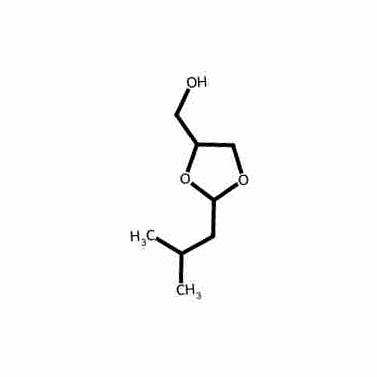 CC(C)CC1OCC(CO)O1